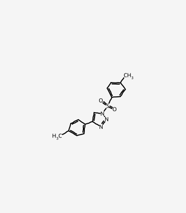 Cc1ccc(-c2cn(S(=O)(=O)c3ccc(C)cc3)nn2)cc1